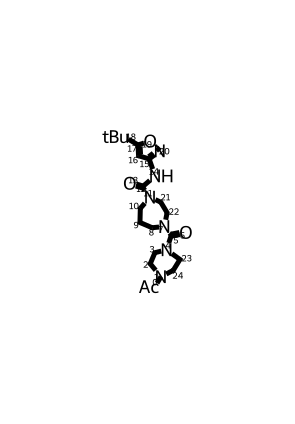 CC(=O)N1CCN(C(=O)N2CCCN(C(=O)Nc3cc(C(C)(C)C)on3)CC2)CC1